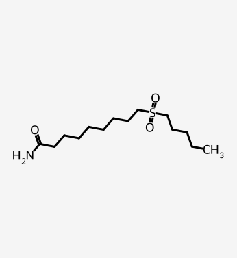 CCCCCS(=O)(=O)CCCCCCCCC(N)=O